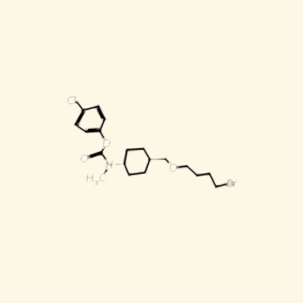 CN(C(=O)Oc1ccc(Cl)cc1)[C@H]1CC[C@H](COCCCCBr)CC1